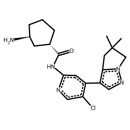 CC1(C)Cc2c(-c3cc(NC(=O)[C@H]4CCC[C@H](N)C4)ncc3Cl)cnn2C1